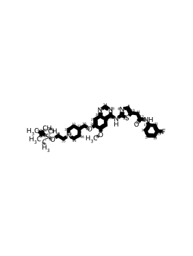 COc1cc2c(Nc3ncc(CC(=O)Nc4cccc(F)c4)s3)ncnc2cc1OCC1CCN(CCO[Si](C)(C)C(C)(C)C)CC1